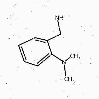 CN(C)c1ccccc1C[NH]